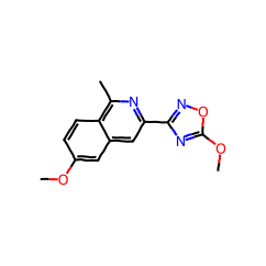 COc1ccc2c(C)nc(-c3noc(OC)n3)cc2c1